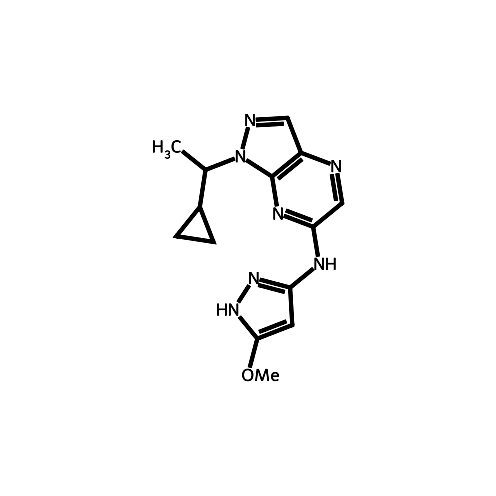 COc1cc(Nc2cnc3cnn(C(C)C4CC4)c3n2)n[nH]1